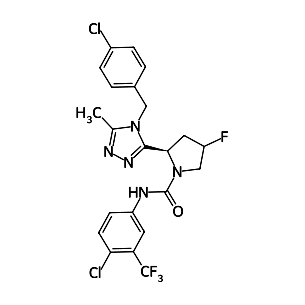 Cc1nnc([C@H]2CC(F)CN2C(=O)Nc2ccc(Cl)c(C(F)(F)F)c2)n1Cc1ccc(Cl)cc1